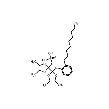 CCCCCCCCCc1ccccc1OC(OCC)(OCC)C(OCC)(OCC)OP(=O)(O)O